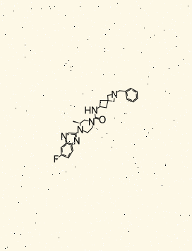 C[C@@H]1CN(c2cnc3cc(F)ccc3n2)[C@@H](C)CN1C(=O)NC1CC2(C1)CN(Cc1ccccc1)C2